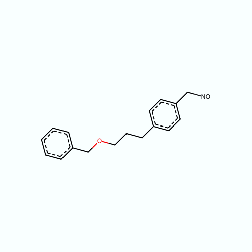 O=NCc1ccc(CCCOCc2ccccc2)cc1